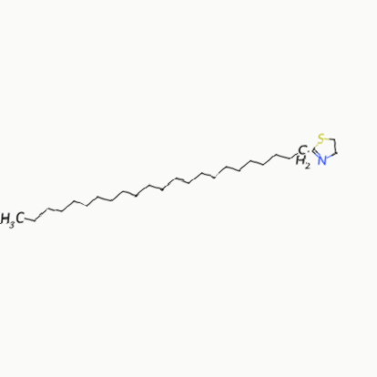 [CH2]CCCCCCCCCCCCCCCCCCCCCC.[C]1=NCCS1